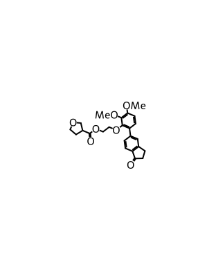 COc1ccc(-c2ccc3c(c2)CCC3=O)c(OCCOC(=O)C2CCOC2)c1OC